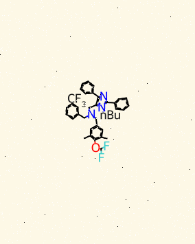 CCCCn1c(-c2ccccc2)nc(-c2ccccc2)c1CN(Cc1cccc(C(F)(F)F)c1)Cc1cc(C)c(OC(F)F)c(C)c1